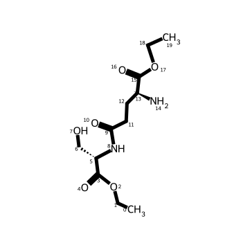 CCOC(=O)[C@H](CO)NC(=O)CC[C@H](N)C(=O)OCC